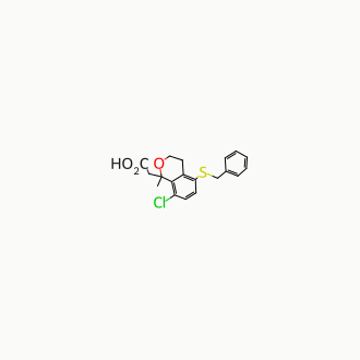 CC1(CC(=O)O)OCCc2c(SCc3ccccc3)ccc(Cl)c21